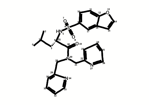 CC(C)C[C@H](NS(=O)(=O)c1ccc2occc2c1)C(=O)N(Cc1ccccn1)Cc1ccccn1